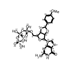 COc1ccc(C2OC3C(COP(=O)(O)OP(=O)(O)OP(=O)(O)O)OC(n4cnc5c(=O)[nH]c(N)nc54)C3O2)cc1